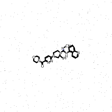 CC(C)C1CN(c2ccc(C(=O)N3CCOCC3)nn2)CCN1/C(=N/C#N)Nc1cccc2ncccc12